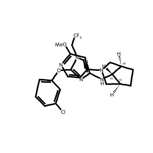 COc1cc(N2C[C@H]3CC[C@@H](C2)[C@@H]3Nc2nc(Oc3cccc(Cl)c3)n(CC(F)(F)F)n2)ccn1